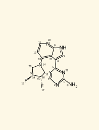 Nc1nccc(-c2c[nH]c3nccc(N4C[C@H](F)[C@@H](F)C4)c23)n1